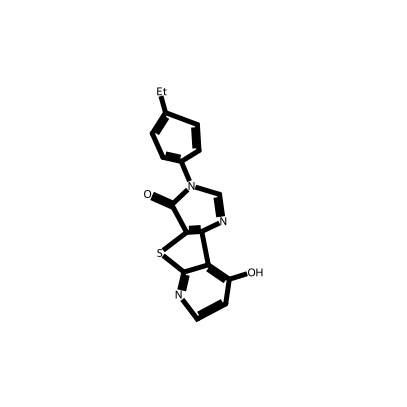 CCc1ccc(-n2cnc3c(sc4nccc(O)c43)c2=O)cc1